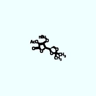 CCCCOC1=C(OC(C)=O)C(=O)O[C@@H]1[C@@H]1COC(C)(C)O1